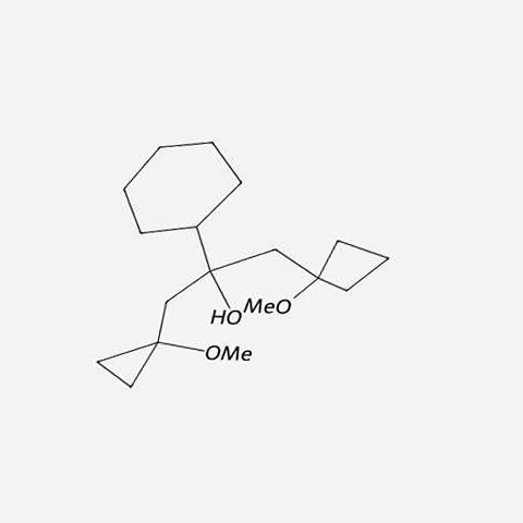 COC1(CC(O)(CC2(OC)CC2)C2CCCCC2)CCC1